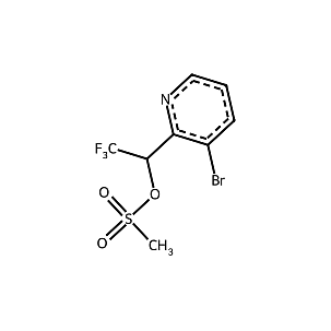 CS(=O)(=O)OC(c1ncccc1Br)C(F)(F)F